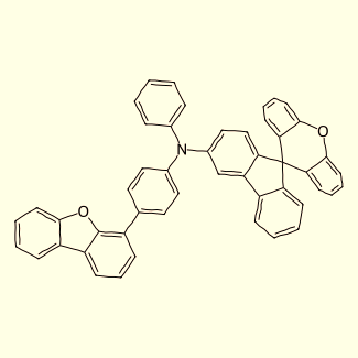 c1ccc(N(c2ccc(-c3cccc4c3oc3ccccc34)cc2)c2ccc3c(c2)-c2ccccc2C32c3ccccc3Oc3ccccc32)cc1